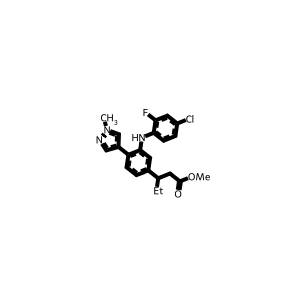 CCC(CC(=O)OC)c1ccc(-c2cnn(C)c2)c(Nc2ccc(Cl)cc2F)c1